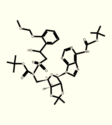 COCOc1ccccc1C(O)CS(=O)(=O)N(C[C@H]1O[C@@H](n2cnc3c(NC(=O)OC(C)(C)C)ncnc32)C2OC(C)(C)O[C@H]21)C(=O)OC(C)(C)C